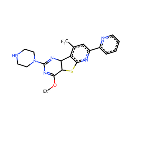 CCOC1=NC(N2CCNCC2)=NC2c3c(C(F)(F)F)cc(-c4ccccn4)nc3SC12